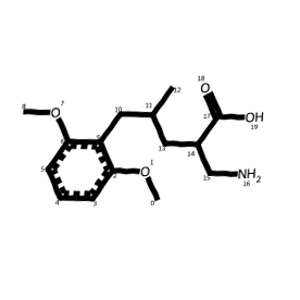 COc1cccc(OC)c1CC(C)CC(CN)C(=O)O